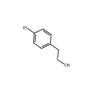 CCc1ccc(CSC#N)cc1